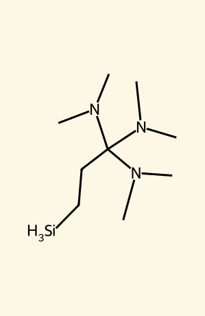 CN(C)C(CC[SiH3])(N(C)C)N(C)C